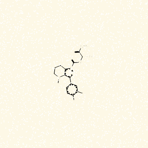 CNC(=O)[C@@H](NC(=O)n1nc(-c2ccc(F)c(F)c2)c2c1CCCN2C)C(C)(C)C